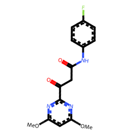 COc1cc(OC)nc(C(=O)CC(=O)Nc2ccc(F)cc2)n1